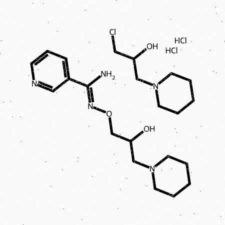 Cl.Cl.NC(=NOCC(O)CN1CCCCC1)c1cccnc1.OC(CCl)CN1CCCCC1